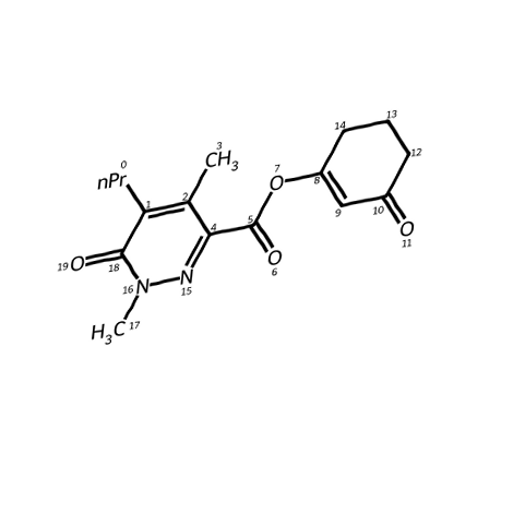 CCCc1c(C)c(C(=O)OC2=CC(=O)CCC2)nn(C)c1=O